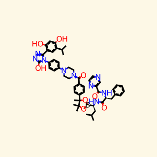 CC(C)C[C@H](NC(=O)[C@H](Cc1ccccc1)NC(=O)c1cnccn1)B1OC(C)(C)C(C)(c2ccc(C(=O)N3CCN(c4ccc(-n5c(O)nnc5-c5cc(C(C)C)c(O)cc5O)cc4)CC3)cc2)O1